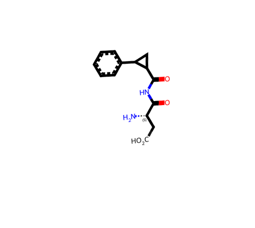 N[C@@H](CC(=O)O)C(=O)NC(=O)C1CC1c1ccccc1